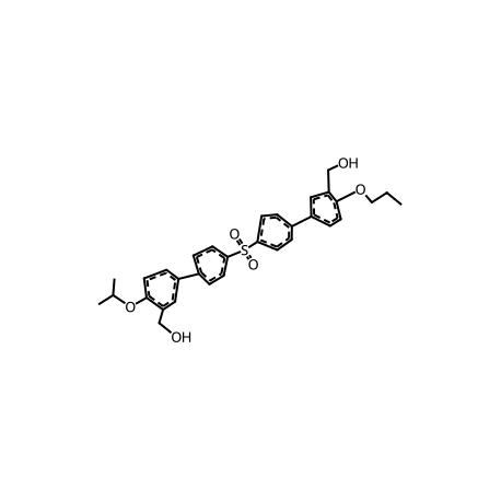 CCCOc1ccc(-c2ccc(S(=O)(=O)c3ccc(-c4ccc(OC(C)C)c(CO)c4)cc3)cc2)cc1CO